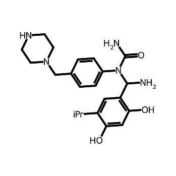 CC(C)c1cc(C(N)N(C(N)=O)c2ccc(CN3CCNCC3)cc2)c(O)cc1O